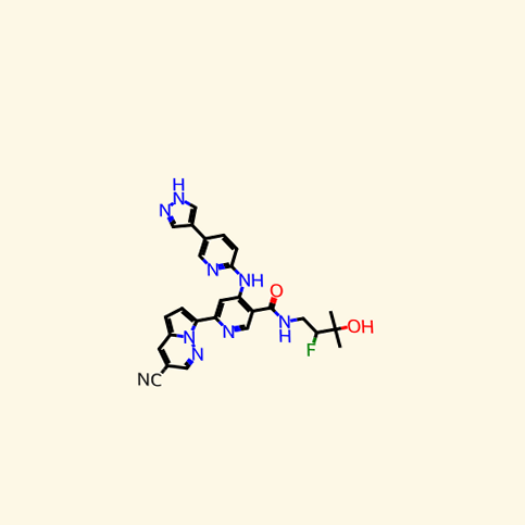 CC(C)(O)C(F)CNC(=O)c1cnc(-c2ccc3cc(C#N)cnn23)cc1Nc1ccc(-c2cn[nH]c2)cn1